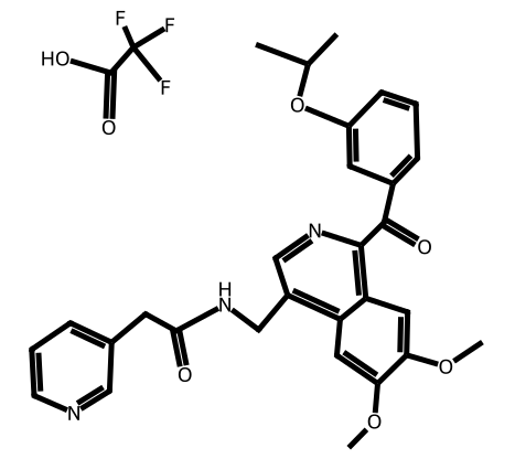 COc1cc2c(CNC(=O)Cc3cccnc3)cnc(C(=O)c3cccc(OC(C)C)c3)c2cc1OC.O=C(O)C(F)(F)F